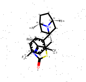 CNC1=NC(=O)SC1C[C@@H]1C[C@H]2CC[C@@H](C1)N2Cc1ccc(C(F)(F)F)cc1C(F)(F)F